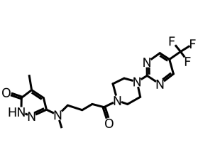 Cc1cc(N(C)CCCC(=O)N2CCN(c3ncc(C(F)(F)F)cn3)CC2)n[nH]c1=O